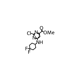 COC(=O)c1cc(NC2CCC(F)(F)CC2)nc(Cl)n1